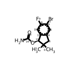 CC1(C)Cc2cc(Br)c(F)cc2[C@@H]1OC(N)=O